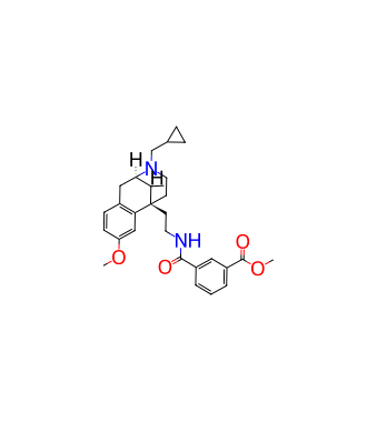 COC(=O)c1cccc(C(=O)NCC[C@@]23CCN(CC4CC4)[C@H](Cc4ccc(OC)cc42)[C@@H]3C)c1